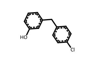 Oc1cccc(Cc2ccc(Cl)cc2)c1